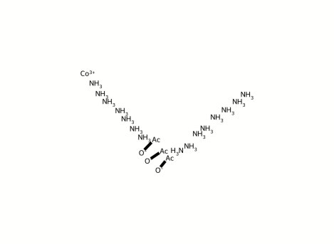 CC(=O)[O-].CC(=O)[O-].CC(=O)[O-].N.N.N.N.N.N.N.N.N.N.N.N.N.N.N.[Co+3]